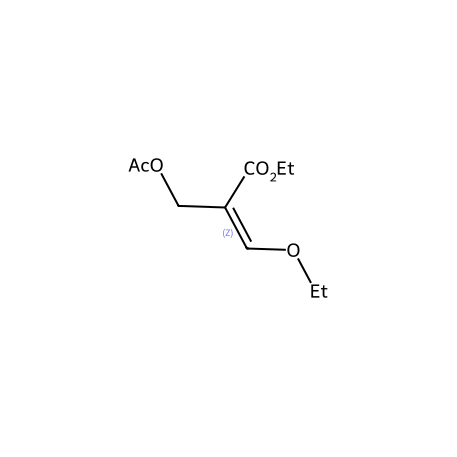 CCO/C=C(/COC(C)=O)C(=O)OCC